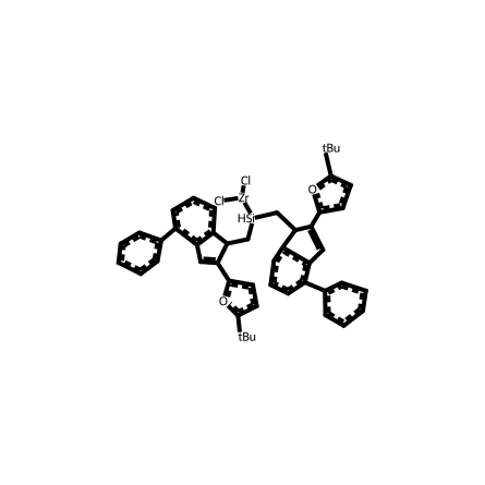 CC(C)(C)c1ccc(C2=Cc3c(-c4ccccc4)cccc3C2C[SiH](CC2C(c3ccc(C(C)(C)C)o3)=Cc3c(-c4ccccc4)cccc32)[Zr]([Cl])[Cl])o1